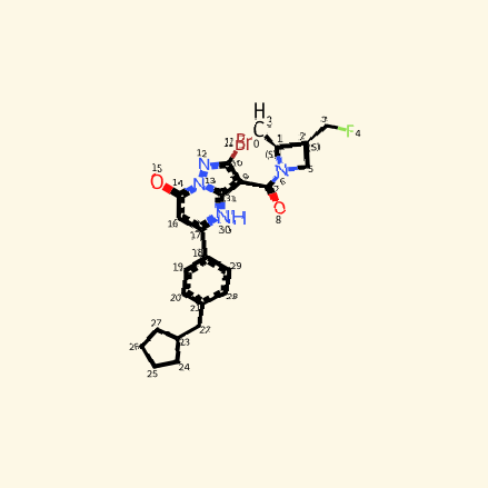 C[C@H]1[C@@H](CF)CN1C(=O)c1c(Br)nn2c(=O)cc(-c3ccc(CC4CCCC4)cc3)[nH]c12